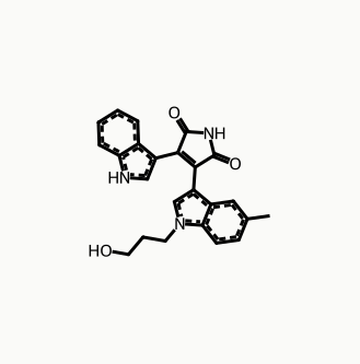 Cc1ccc2c(c1)c(C1=C(c3c[nH]c4ccccc34)C(=O)NC1=O)cn2CCCO